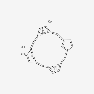 C1=Cc2cc3ccc(cc4nc(cc5ccc(cc1n2)[nH]5)C=C4)[nH]3.CO.[Co]